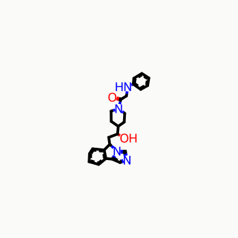 O=C(CNc1ccccc1)N1CCC(C(O)CC2c3ccccc3-c3cncn32)CC1